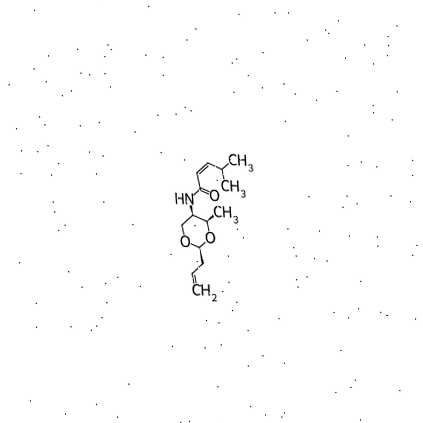 C=CC[C@H]1OC[C@@H](NC(=O)/C=C\C(C)C)[C@@H](C)O1